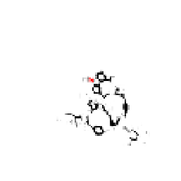 CC(=O)C1NC(=O)C2NC(=O)C(NC(=O)C3NC(=O)C(CC(N)=O)NC(=O)C(NC(=O)C(CC(C)C)N(C)C)C(O)c4ccc(c(C)c4)Oc4cc3cc(c4OCC3OC(CO)C(O)C(O)C3C)Oc3ccc(cc3C)C2O)c2ccc(O)c(c2)-c2c1cc(O)c(C)c2O